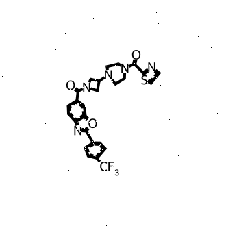 O=C(c1ccc2nc(-c3ccc(C(F)(F)F)cc3)oc2c1)N1CC(N2CCN(C(=O)c3nccs3)CC2)C1